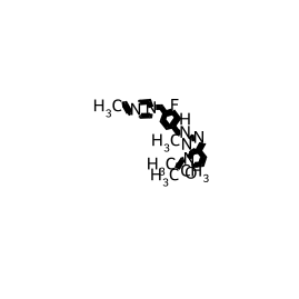 CC=CN1CCN(Cc2ccc([C@H](C)Nc3ncc4ccc(=O)n(CC(C)(C)C)c4n3)cc2F)CC1